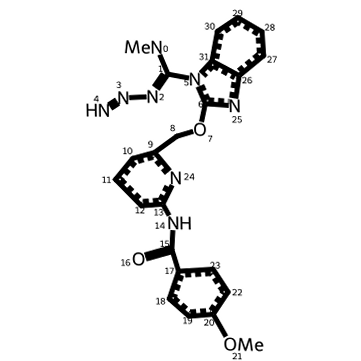 CN/C(=N\N=N)n1c(OCc2cccc(NC(=O)c3ccc(OC)cc3)n2)nc2ccccc21